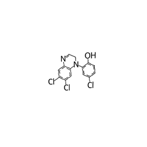 Oc1ccc(Cl)cc1N1CC=Nc2cc(Cl)c(Cl)cc21